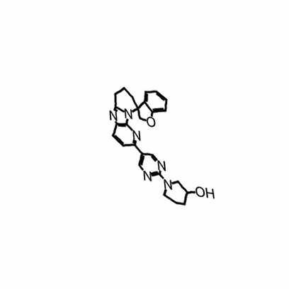 OC1CCCN(c2ncc(-c3ccc4nc5n(c4n3)C3(CCC5)COc4ccccc43)cn2)C1